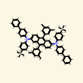 Cc1cc(C)cc(-c2c3ccc(N(c4ccc(-c5ccccc5)cc4)c4ccc([Si](C)(C)C)cc4)cc3c(-c3cc(C)cc(C)c3)c3ccc(N(c4ccc(-c5ccccc5)cc4)c4ccc([Si](C)(C)C)cc4)cc23)c1